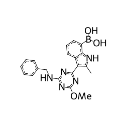 COc1nc(NCc2ccccc2)nc(-c2c(C)[nH]c3c(B(O)O)cccc23)n1